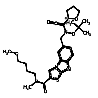 COCCCCN(C)C(=O)c1cn2c(nc3ccc(CN(OC(C)(C)C)C(=C=O)[C@H]4CCCO4)cc32)s1